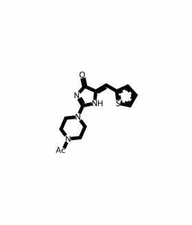 CC(=O)N1CCN(C2=NC(=O)C(=Cc3cccs3)N2)CC1